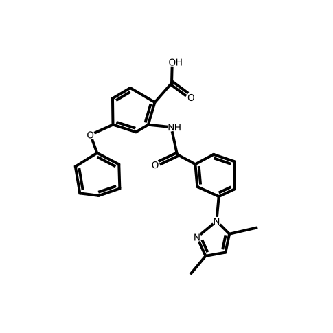 Cc1cc(C)n(-c2cccc(C(=O)Nc3cc(Oc4ccccc4)ccc3C(=O)O)c2)n1